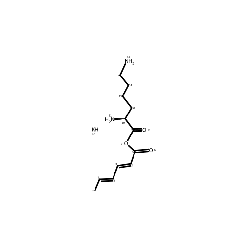 C/C=C/C=C/C(=O)OC(=O)[C@@H](N)CCCCN.[KH]